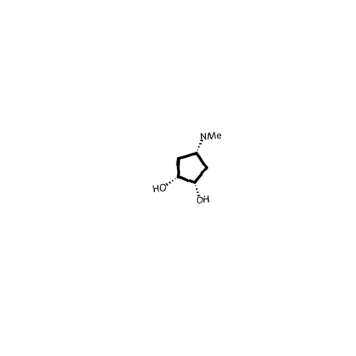 CN[C@H]1C[C@@H](O)[C@@H](O)C1